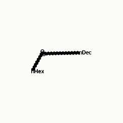 CCCCCCC=CCCCCCCCCCCCC(=O)OCCCCCCCCCCCCCCCCCCCCCCCCCCCCCCCCCC